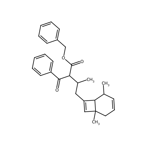 CC1C=CCC2(C)C=C(CC(C)C(C(=O)OCc3ccccc3)C(=O)c3ccccc3)C12